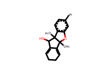 CC(=O)OC12Oc3cc(C(C)C)ccc3C1(OC(C)=O)C(O)C1=CCCC=C12